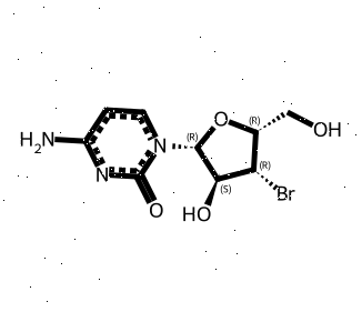 Nc1ccn([C@@H]2O[C@H](CO)[C@H](Br)[C@H]2O)c(=O)n1